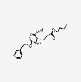 CCCCOC(=O)CC[C@H](NC(=O)OCc1ccccc1)C(=O)O